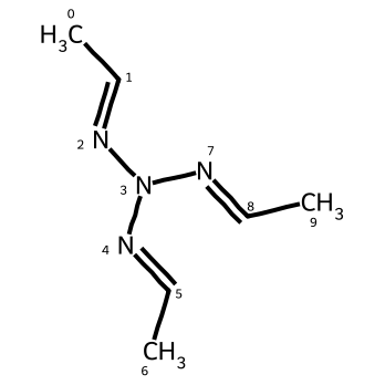 CC=NN(N=CC)N=CC